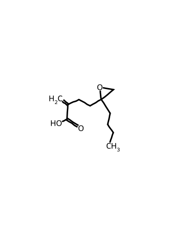 C=C(CCC1(CCCC)CO1)C(=O)O